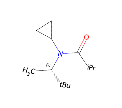 CC(C)C(=O)N(C1CC1)[C@@H](C)C(C)(C)C